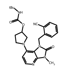 Cn1c(=O)n(Cc2ccccc2C#N)c2c(N3CCC(OC(=O)NC(C)(C)C)C3)ccnc21